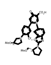 COC[C@H]1CCCN1c1nc2ccc(-n3cc(C(=O)O)c(=O)cc3-c3ccc(N4CC[C@@H](OC)C4)c(C(F)(F)F)c3)cc2o1